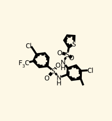 Cc1cc(NS(=O)(=O)c2ccc(Cl)c(C(F)(F)F)c2)c(NS(=O)(=O)c2cccs2)cc1Cl